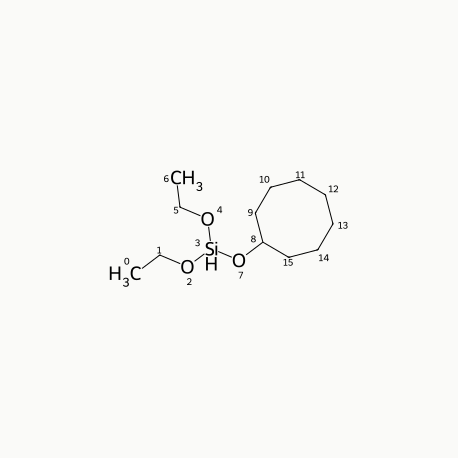 CCO[SiH](OCC)OC1CCCCCCC1